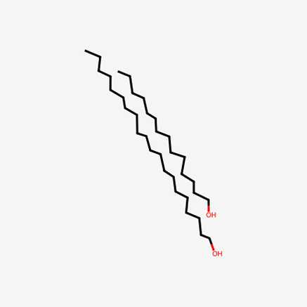 CCCCCCCCCCCCCCCCCCCCO.CCCCCCCCCCCCCCO